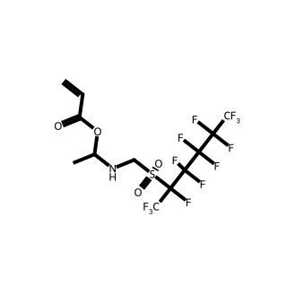 C=CC(=O)OC(C)NCS(=O)(=O)C(F)(C(F)(F)F)C(F)(F)C(F)(F)C(F)(F)C(F)(F)F